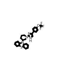 FC(F)(F)Oc1ccc(-c2c[nH]c(N3CCCC(N4c5ccccc5Sc5ccccc54)C3)n2)cc1